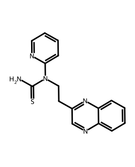 NC(=S)N(CCc1cnc2ccccc2n1)c1ccccn1